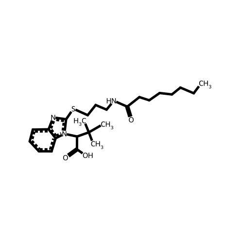 CCCCCCCC(=O)NCCCSc1nc2ccccc2n1C(C(=O)O)C(C)(C)C